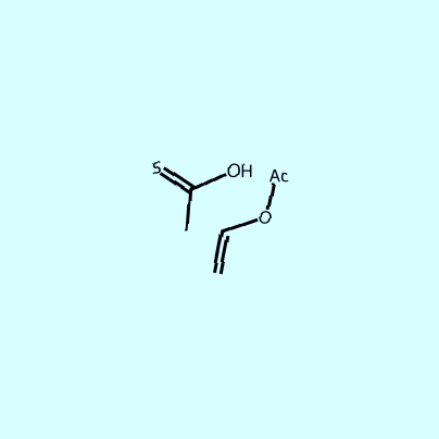 C=COC(C)=O.CC(O)=S